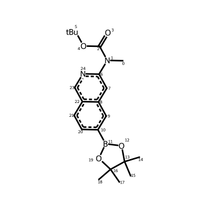 CN(C(=O)OC(C)(C)C)c1cc2cc(B3OC(C)(C)C(C)(C)O3)ccc2cn1